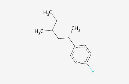 CCC(C)C[C@H](C)c1ccc(F)cc1